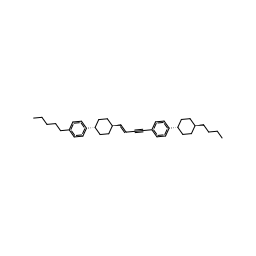 CCCCCc1ccc([C@H]2CC[C@H](C=CC#Cc3ccc([C@H]4CC[C@H](CCCC)CC4)cc3)CC2)cc1